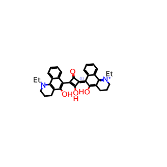 CCN1CCCc2c(O)c(C3=C(O)/C(=c4\c(O)c5c(c6ccccc46)=[N+](CC)CCC5)C3=O)c3ccccc3c21